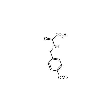 COc1ccc(CNC(=O)C(=O)O)cc1